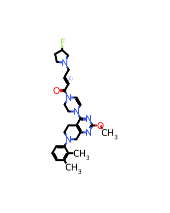 COc1nc2c(c(N3C=CN(C(=O)/C=C/CN4CCC(F)C4)CC3)n1)CCN(c1cccc(C)c1C)C2